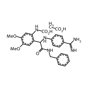 CC(=O)O.COc1cc(NC(=O)O)c(C(Nc2ccc(C(=N)N)cc2)C(=O)NCc2ccccc2)cc1OC